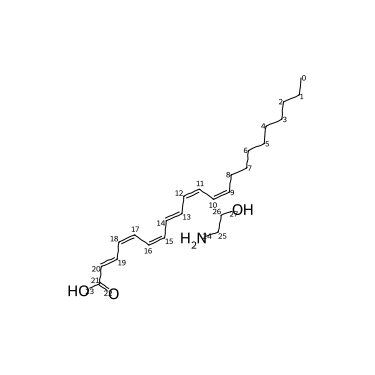 CCCCCCCCC\C=C/C=C\C=C\C=C/C=C\C=C\C(=O)O.NCCO